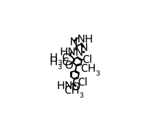 CNC(=O)c1ccc(-c2c(C)c(Cl)cc(C(C)Nc3ncnc4[nH]cnc34)c2OC)cc1Cl